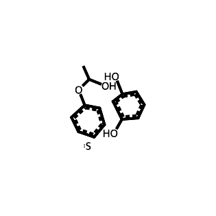 CC(O)Oc1ccccc1.Oc1cccc(O)c1.[S]